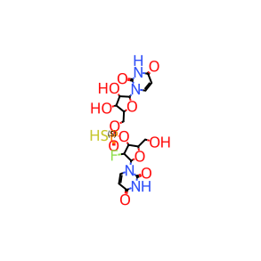 O=c1ccn(C2OC(CO[P@](=O)(S)OC3C(CO)OC(n4ccc(=O)[nH]c4=O)C3F)C(O)C2O)c(=O)[nH]1